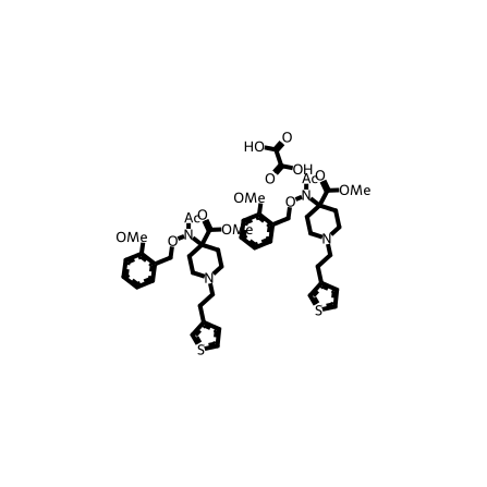 COC(=O)C1(N(OCc2ccccc2OC)C(C)=O)CCN(CCc2ccsc2)CC1.COC(=O)C1(N(OCc2ccccc2OC)C(C)=O)CCN(CCc2ccsc2)CC1.O=C(O)C(=O)O